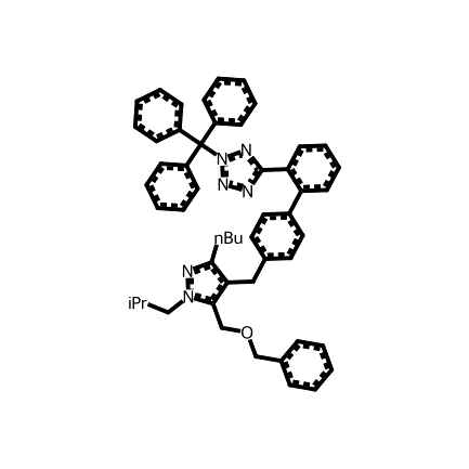 CCCCc1nn(CC(C)C)c(COCc2ccccc2)c1Cc1ccc(-c2ccccc2-c2nnn(C(c3ccccc3)(c3ccccc3)c3ccccc3)n2)cc1